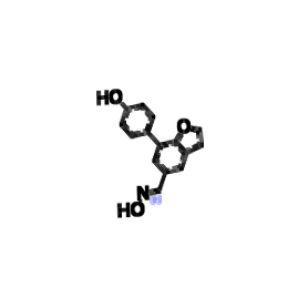 O/N=C/c1cc(-c2ccc(O)cc2)c2occc2c1